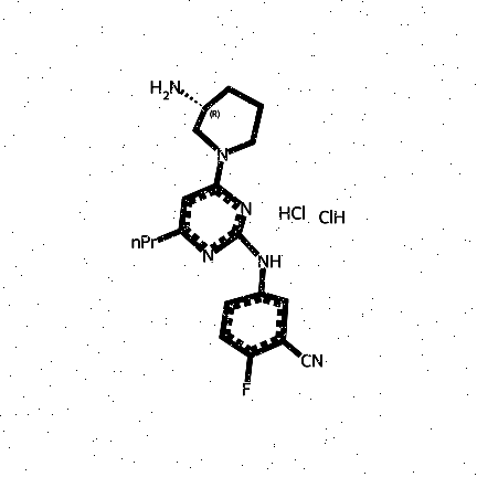 CCCc1cc(N2CCC[C@@H](N)C2)nc(Nc2ccc(F)c(C#N)c2)n1.Cl.Cl